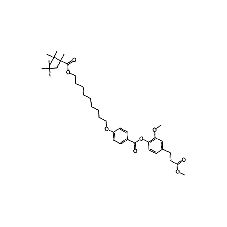 COC(=O)/C=C/c1ccc(OC(=O)c2ccc(OCCCCCCCCCOC(=O)C(C)(CC(C)(C)C)C(C)(C)C)cc2)c(OC)c1